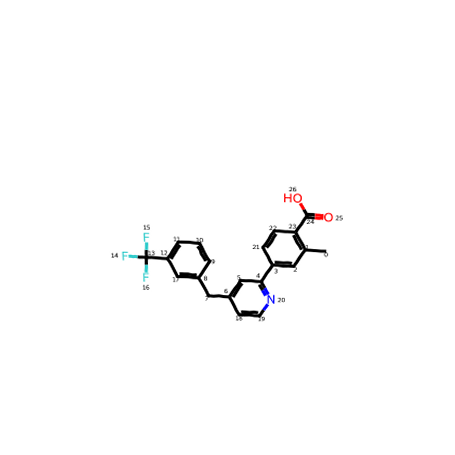 Cc1cc(-c2cc(Cc3cccc(C(F)(F)F)c3)ccn2)ccc1C(=O)O